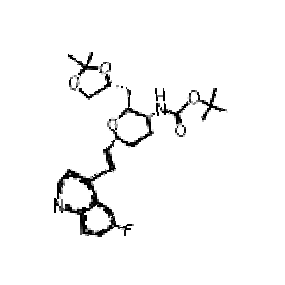 CC(C)(C)OC(=O)N[C@@H]1CC[C@@H](C=Cc2ccnc3ccc(F)cc23)O[C@H]1C[C@@H]1COC(C)(C)O1